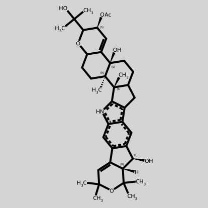 CC(=O)O[C@H]1C=C2C(CC[C@@]3(C)[C@@]2(O)CCC2Cc4c([nH]c5cc6c(cc45)[C@@H](O)[C@H]4C6=CC(C)(C)OC4(C)C)[C@@]23C)OC1C(C)(C)O